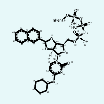 CCCCCOP(=O)(O)OP(=O)(O)OP(=O)(O)OC[C@H]1O[C@@H](n2ccc(SC3CCCCC3)nc2=O)[C@H]2OC(c3ccc4ccccc4c3)OC12